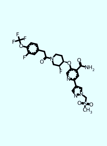 CS(=O)(=O)Cn1cc(-c2cc(C(N)=O)c(O[C@@H]3CCN(C(=O)Cc4ccc(OC(F)(F)F)c(F)c4)C[C@@H]3F)cn2)cn1